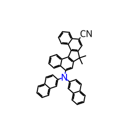 CC1(C)c2cc(C#N)c3ccccc3c2-c2c1cc(N(c1ccc3ccccc3c1)c1ccc3ccccc3c1)c1ccccc21